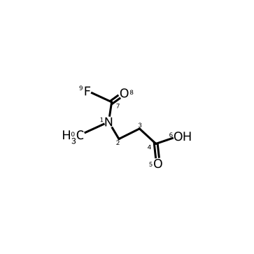 CN(CCC(=O)O)C(=O)F